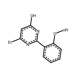 CCCOc1ccccc1-c1nc(O)cc(CC)n1